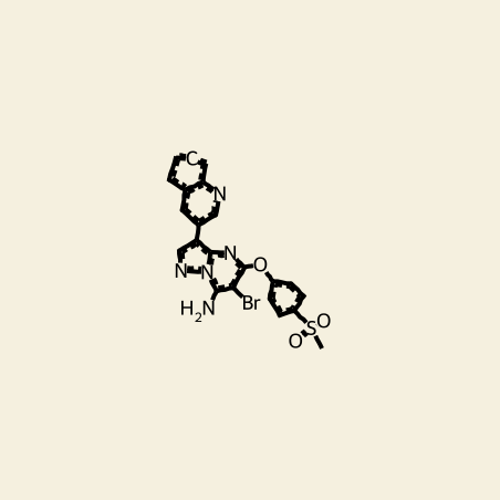 CS(=O)(=O)c1ccc(Oc2nc3c(-c4cnc5ccccc5c4)cnn3c(N)c2Br)cc1